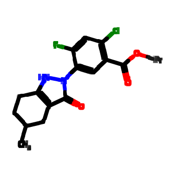 CC1CCc2[nH]n(-c3cc(C(=O)OC(C)C)c(Cl)cc3F)c(=O)c2C1